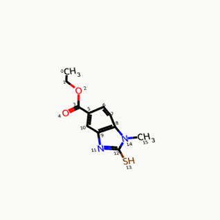 CCOC(=O)c1ccc2c(c1)nc(S)n2C